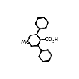 O=C(O)C1C(C2CCCCC2)CCCC1C1CCCCC1.[Mo]